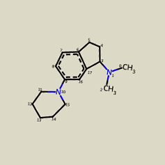 CN(C)C1CCc2ccc(N3CCCCC3)cc21